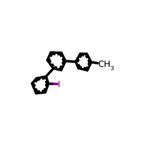 Cc1ccc(-c2cccc(-c3ccccc3I)c2)cc1